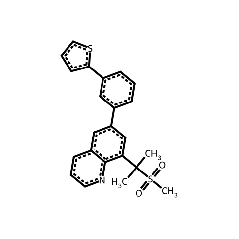 CC(C)(c1cc(-c2cccc(-c3cccs3)c2)cc2cccnc12)S(C)(=O)=O